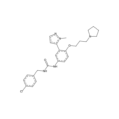 Cn1nccc1-c1cc(NC(=O)NCc2ccc(Cl)cc2)ccc1OCCCN1CCCC1